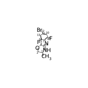 CC1COC/C(=N\c2c(F)cc(Br)cc2F)N1